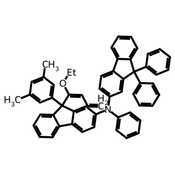 C=C/C=C(/OCC)C1(c2cc(C)cc(C)c2)c2ccccc2-c2ccc(N(c3ccccc3)c3ccc4c(c3)C(c3ccccc3)(c3ccccc3)c3ccccc3-4)cc21